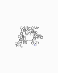 C/C=C\C(I)(CC)C1CC(=O)N(CCCCCC(=O)NC(C(=O)N[C@@H](CCCNC(N)=O)C(=O)Nc2ccc(COC(=O)N(C)[C@H](C(=O)N[C@H](C(=O)CC([C@@H](C)CC)[C@@H](CC(=O)N3CCC[C@H]3[C@H](OC)[C@@H](C)C(=O)N[C@H](C)[C@@H](O)c3ccccc3)OC)C(C)C)C(C)C)cc2)C(C)C)C1=O